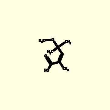 COC(C)(C)C=C(C)C(=O)O